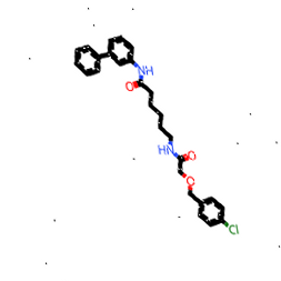 O=C(COCc1ccc(Cl)cc1)NCCCCCC(=O)Nc1cccc(-c2ccccc2)c1